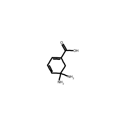 NC1(N)C=CC=C(C(=O)O)C1